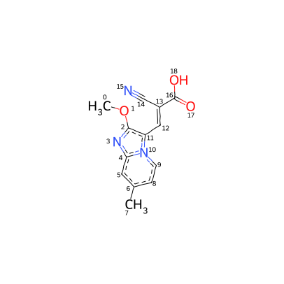 COc1nc2cc(C)ccn2c1C=C(C#N)C(=O)O